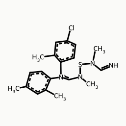 Cc1ccc([N+](=CN(C)SN(C)C=N)c2ccc(Cl)cc2C)c(C)c1